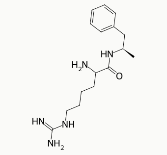 C[C@H](Cc1ccccc1)NC(=O)C(N)CCCCNC(=N)N